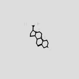 C=C(C)C1CCC2C3CC=C4CC(S)CCC4(C)C3CCC12C